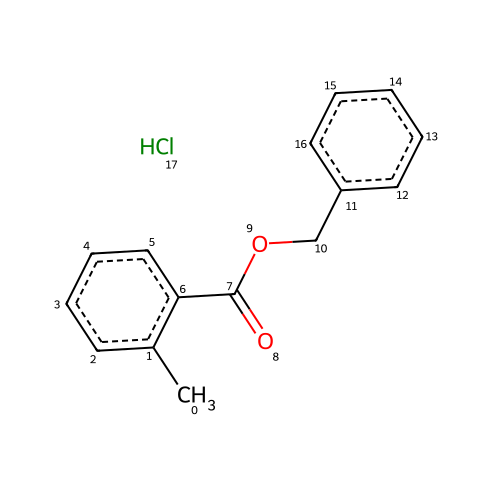 Cc1ccccc1C(=O)OCc1ccccc1.Cl